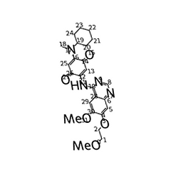 COCCOc1cc2ncnc(NC3=CC(=O)C(N(C)C4CCCCC4)=CC3=O)c2cc1OC